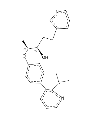 C[C@H](Oc1ccc(-c2cccnc2N(C)C)cc1)[C@H](O)CCc1cccnc1